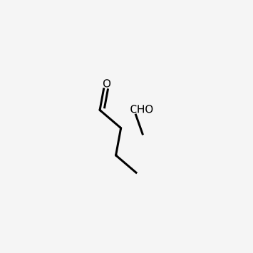 CC=O.CCCC=O